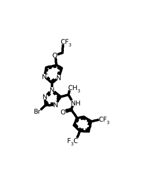 CC(NC(=O)c1cc(C(F)(F)F)cc(C(F)(F)F)c1)c1nc(Br)nn1-c1ncc(OCC(F)(F)F)cn1